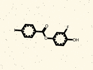 O=C(Oc1ccc(O)c(F)c1)c1ccc(I)cc1